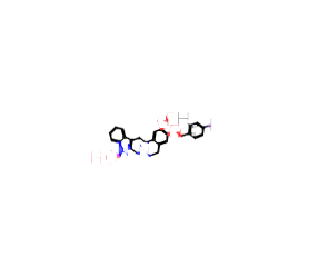 COc1cc2c(cc1OCc1ccc(I)cc1)CCN1Cc3c(c4ccccc4n3CO)CC21